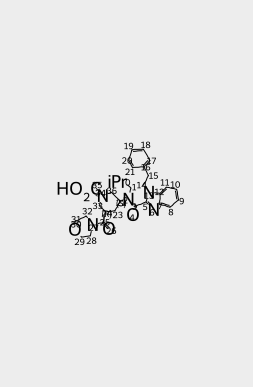 CC(C)CN(C(=O)c1nc2ccccc2n1CCc1ccccc1)[C@H]1C[C@@H](C(=O)N2CCOCC2)CN(C(=O)O)C1